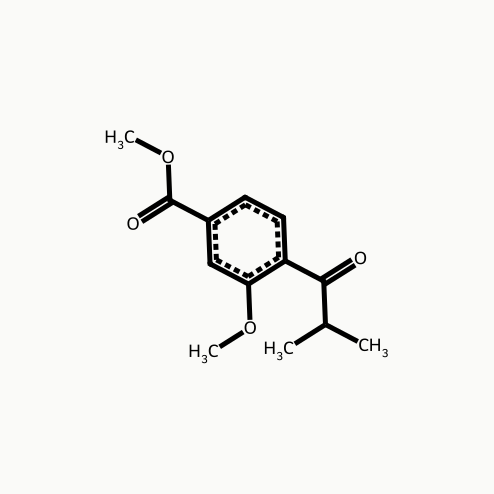 COC(=O)c1ccc(C(=O)C(C)C)c(OC)c1